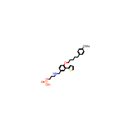 COc1ccc(CCCCCOc2ccc(CNCCCO[PH](=O)O)cc2-c2cccs2)cc1